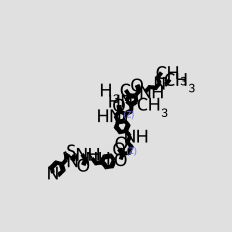 CCN(CC)CCNC(=O)c1c(C)[nH]c(/C=C2\C(=O)Nc3ccc(NC(=O)/C=C\C(=O)Oc4ccc(CNC(=O)Nc5nc(-c6ccncc6)cs5)cc4)cc32)c1C